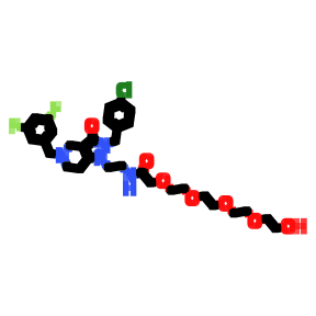 O=C(COCCOCCOCCOCCO)NCCn1c2c(c(=O)n1Cc1ccc(Cl)cc1)CN(Cc1cc(F)cc(F)c1)CC2